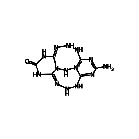 Nc1nc2[n+]3c(n1)NN/N=C1/NC(=O)N/C(=N/NN2)N1N3